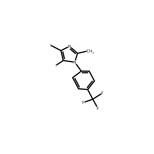 Cc1nc(I)c(I)n1-c1ccc(C(F)(F)F)cc1